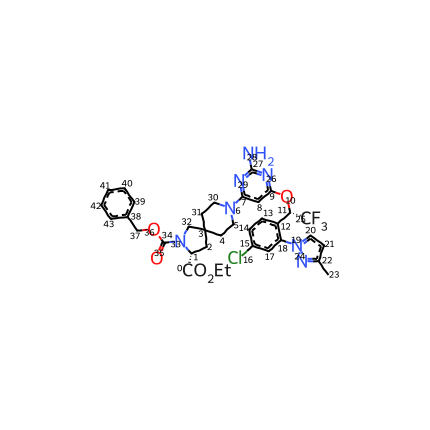 CCOC(=O)[C@H]1CC2(CCN(c3cc(O[C@@H](c4ccc(Cl)cc4-n4ccc(C)n4)C(F)(F)F)nc(N)n3)CC2)CN1C(=O)OCc1ccccc1